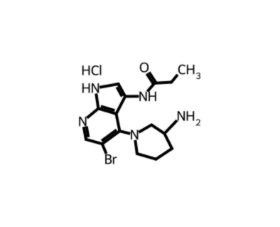 CCC(=O)Nc1c[nH]c2ncc(Br)c(N3CCCC(N)C3)c12.Cl